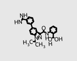 CC(C)n1nc(C(=O)Nc2ccccc2C(O)O)c2cc(-c3cccc(C(=N)N)c3)ccc21